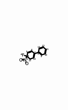 O=[N+]([O-])C1(F)C=CC(c2ccccc2)=CC1